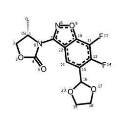 C[C@H]1COC(=O)N1c1noc2c(F)c(F)c(C3OCCO3)cc12